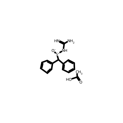 CC(=O)O.N=C(N)N[S+]([O-])C(c1ccccc1)c1ccccc1